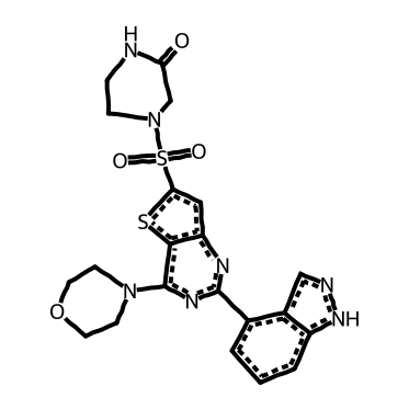 O=C1CN(S(=O)(=O)c2cc3nc(-c4cccc5[nH]ncc45)nc(N4CCOCC4)c3s2)CCN1